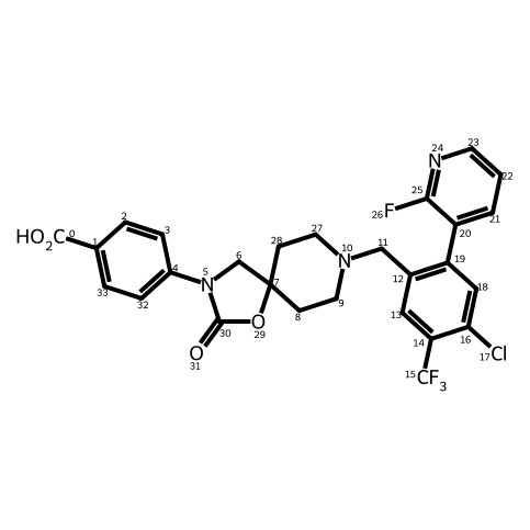 O=C(O)c1ccc(N2CC3(CCN(Cc4cc(C(F)(F)F)c(Cl)cc4-c4cccnc4F)CC3)OC2=O)cc1